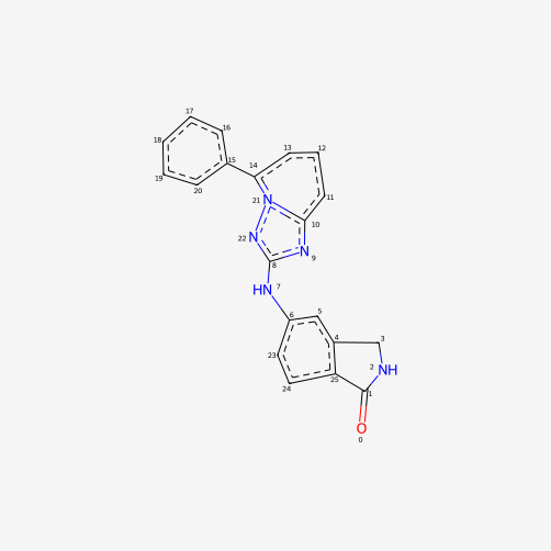 O=C1NCc2cc(Nc3nc4cccc(-c5ccccc5)n4n3)ccc21